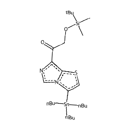 CCC[CH2][Sn]([CH2]CCC)([CH2]CCC)[c]1csc2c(C(=O)CO[Si](C)(C)C(C)(C)C)ncn12